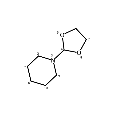 C1CCN(C2OCCO2)CC1